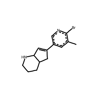 Cc1cc(C2=CC3NCCCC3C2)cnc1Br